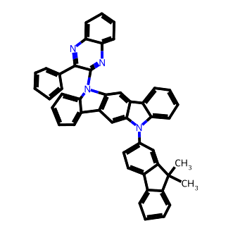 CC1(C)c2ccccc2-c2ccc(-n3c4ccccc4c4cc5c(cc43)c3ccccc3n5-c3nc4ccccc4nc3-c3ccccc3)cc21